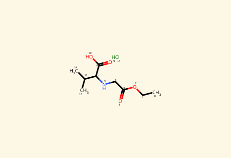 CCOC(=O)CNC(C(=O)O)C(C)C.Cl